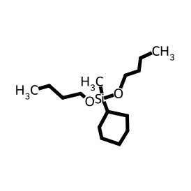 CCCCO[Si](C)(OCCCC)C1CCCCC1